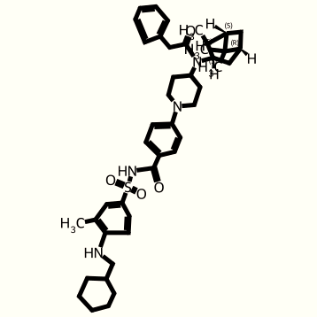 Cc1cc(S(=O)(=O)NC(=O)c2ccc(N3CCC(N(C(=O)Cc4ccccc4)[C@H]4C[C@H]5C[C@@H]([C@@H]4C)C5(C)C)CC3)cc2)ccc1NCC1CCCCC1